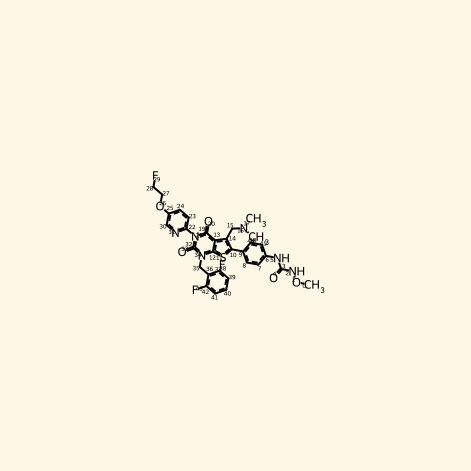 CONC(=O)Nc1ccc(-c2sc3c(c2CN(C)C)c(=O)n(-c2ccc(OCCF)cn2)c(=O)n3Cc2c(F)cccc2F)cc1